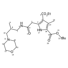 CCOC(=O)c1c(CC(=O)NCC(C)CN2CCOCC2)[nH]c(C(=O)OC(C)(C)C)c1C